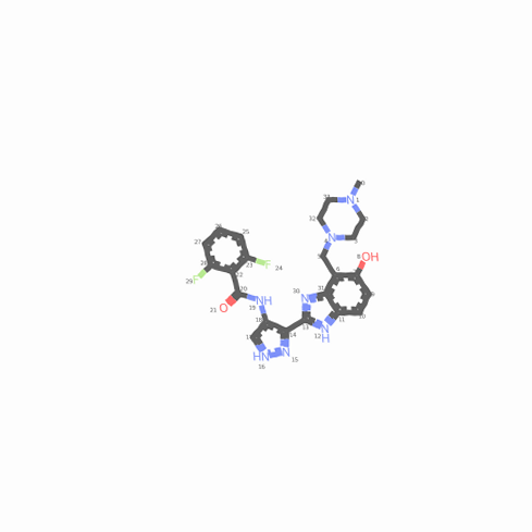 CN1CCN(Cc2c(O)ccc3[nH]c(-c4n[nH]cc4NC(=O)c4c(F)cccc4F)nc23)CC1